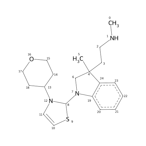 CNCCC1(C)CN(C2SC=CN2C2CCOCC2)c2ccccc21